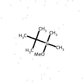 [CH2]O[Si](C)(C)C(C)(C)C